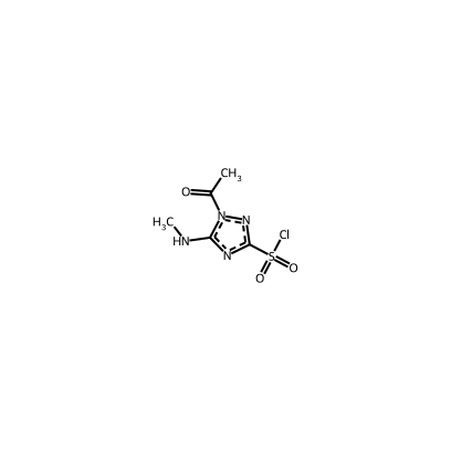 CNc1nc(S(=O)(=O)Cl)nn1C(C)=O